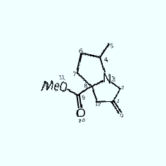 C=C1CN2C(C)CCC2(C(=O)OC)C1